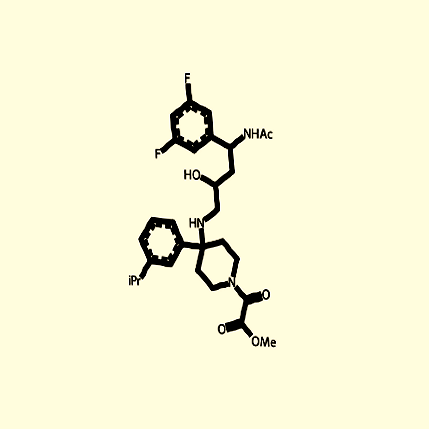 COC(=O)C(=O)N1CCC(NCC(O)CC(NC(C)=O)c2cc(F)cc(F)c2)(c2cccc(C(C)C)c2)CC1